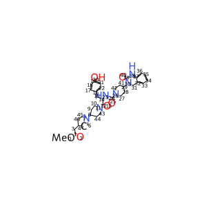 COC(=O)CC1CCN(C2CCN(C(=O)[C@@H](Cc3ccc(O)cc3)NC(=O)N3CCC(N4Cc5ccccc5NC4=O)CC3)CC2)CC1